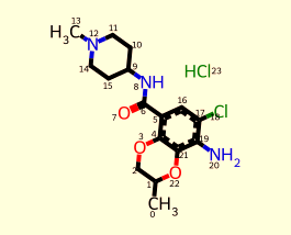 CC1COc2c(C(=O)NC3CCN(C)CC3)cc(Cl)c(N)c2O1.Cl